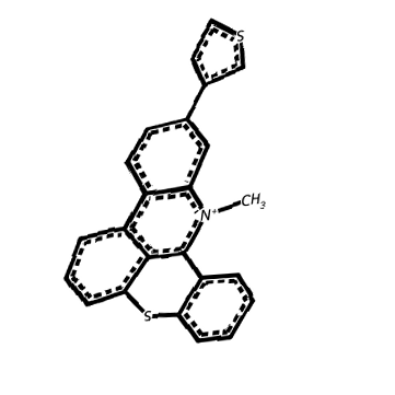 C[n+]1c2c3c(cccc3c3ccc(-c4ccsc4)cc31)Sc1ccccc1-2